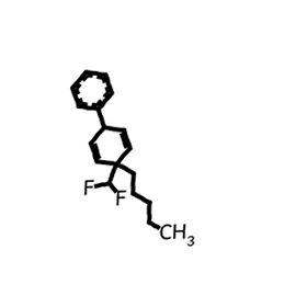 CCCCCC1(C(F)F)C=CC(c2ccccc2)C=C1